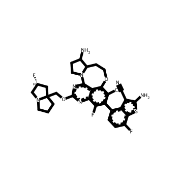 N#Cc1c(N)sc2c(F)ccc(-c3c(Cl)c4c5c(nc(OCC67CCCN6C[C@H](F)C7)nc5c3F)N3CCC(N)C3CCO4)c12